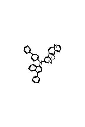 c1ccc(-c2ccc(N(c3cnc4oc5c6cccnc6ccc5c4c3)c3ccc(-c4ccccc4)c4ccccc34)cc2)cc1